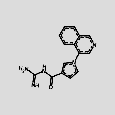 N=C(N)NC(=O)c1ccn(-c2cncc3ccccc23)c1